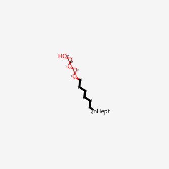 CCCCCCCCCCCCCOOOOO